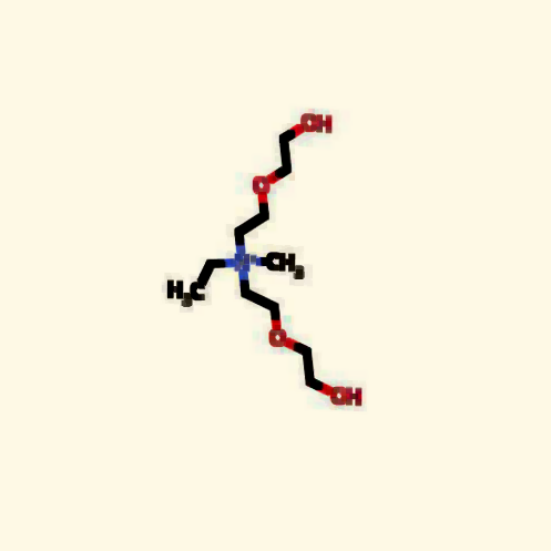 CC[N+](C)(CCOCCO)CCOCCO